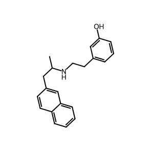 CC(Cc1ccc2ccccc2c1)NCCc1cccc(O)c1